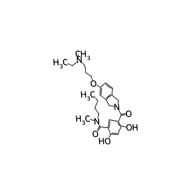 CCCCN(C)C(=O)c1cc(C(=O)N2Cc3ccc(OCCCN(C)CC)cc3C2)c(O)cc1O